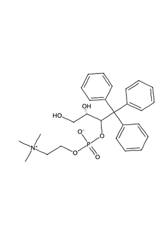 C[N+](C)(C)CCOP(=O)([O-])OC([C@@H](O)CO)C(c1ccccc1)(c1ccccc1)c1ccccc1